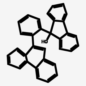 OC1(c2ccccc2-c2cc3ccccc3c3ccccc23)c2ccccc2-c2ccccc21